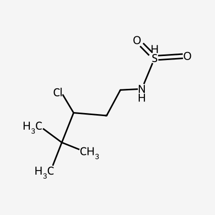 CC(C)(C)C(Cl)CCN[SH](=O)=O